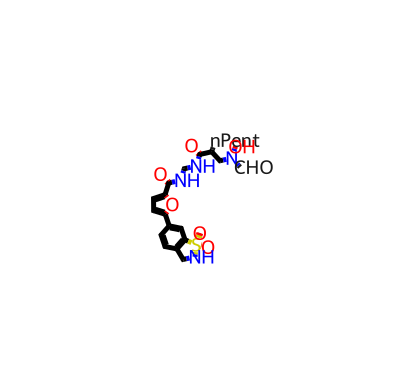 CCCCCC(CN(O)C=O)C(=O)NCNC(=O)c1ccc(-c2ccc3c(c2)S(=O)(=O)NC3)o1